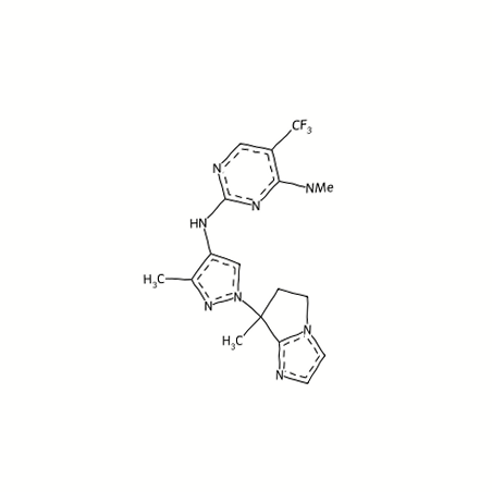 CNc1nc(Nc2cn(C3(C)CCn4ccnc43)nc2C)ncc1C(F)(F)F